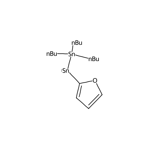 CCC[CH2][Sn]([CH2]CCC)([CH2]CCC)[Sn][c]1ccco1